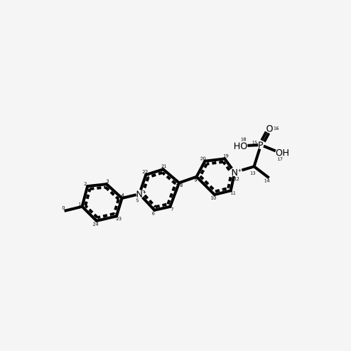 Cc1ccc(-[n+]2ccc(-c3cc[n+](C(C)P(=O)(O)O)cc3)cc2)cc1